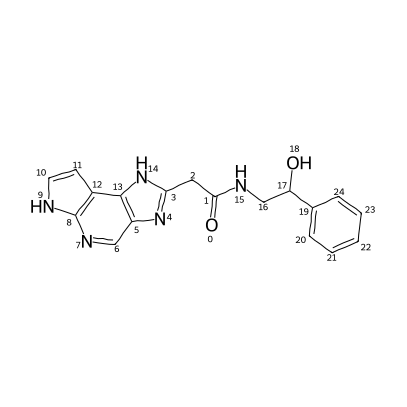 O=C(Cc1nc2cnc3[nH]ccc3c2[nH]1)NCC(O)c1ccccc1